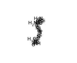 Cc1cc(N2CCC(CN3CCN(c4ccc(Oc5cc6oc7cccc(N)c7c(=O)c6nc5N)cc4)CC3)CC2)ccc1N1CCC(=O)NC1=O